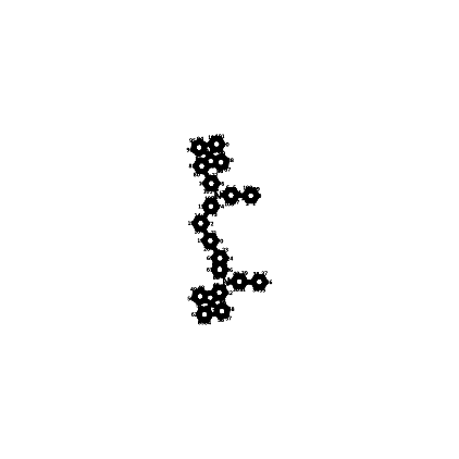 c1ccc(-c2ccc(N(c3ccc(-c4cccc(-c5ccc(-c6ccc7cc(N(c8ccc(-c9ccccc9)cc8)c8ccc9c(c8)-c8ccccc8C9(c8ccccc8)c8ccccc8)ccc7c6)cc5)c4)cc3)c3ccc(-c4cccc5c4-c4ccccc4C5(c4ccccc4)c4ccccc4)cc3)cc2)cc1